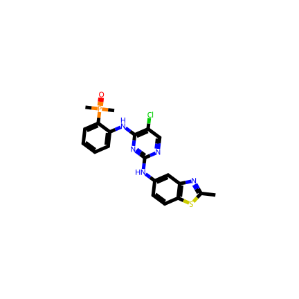 Cc1nc2cc(Nc3ncc(Cl)c(Nc4ccccc4P(C)(C)=O)n3)ccc2s1